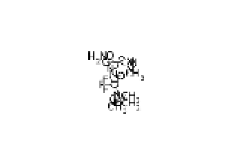 CC(C)[C@H]1CN(C)CCN1Cc1cc2c(c(C(F)(F)F)c1)CN(c1cc(C3(Cc4nncn4C)CCC3)cc(OC(N)=O)n1)C2=O